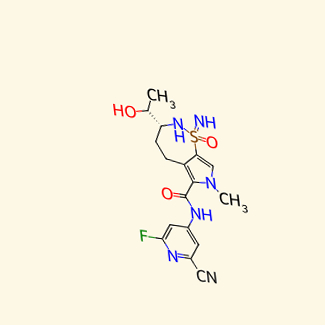 CC(O)[C@H]1CCc2c(cn(C)c2C(=O)Nc2cc(F)nc(C#N)c2)S(=N)(=O)N1